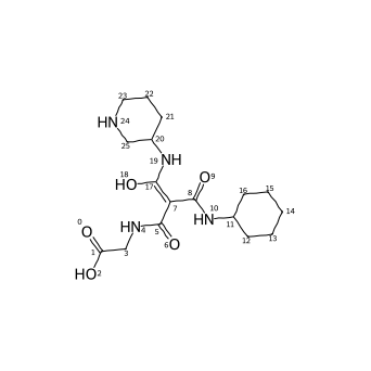 O=C(O)CNC(=O)/C(C(=O)NC1CCCCC1)=C(\O)NC1CCCNC1